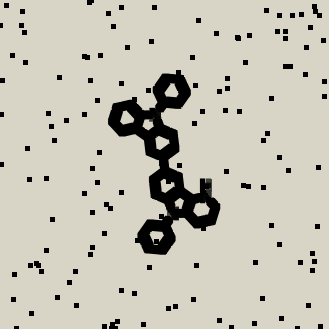 C1=Cc2c(c3cc(-c4ccc5c(c4)c4ccccc4n5-c4ccccc4)ccc3n2-c2ccccc2)NC1